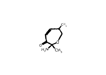 CC1C=CC(=O)C(C)(N)OC1